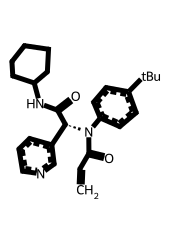 C=CC(=O)N(c1ccc(C(C)(C)C)cc1)[C@@H](C(=O)NC1CCCCC1)c1cccnc1